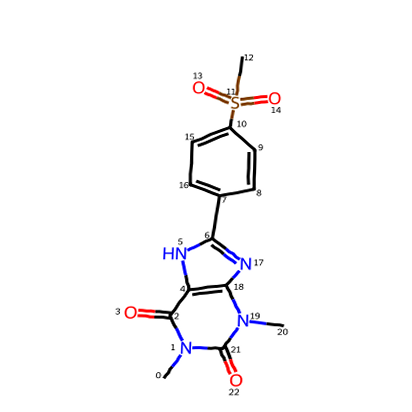 Cn1c(=O)c2[nH]c(-c3ccc(S(C)(=O)=O)cc3)nc2n(C)c1=O